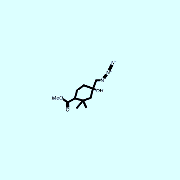 COC(=O)C1CCC(O)(CN=[N+]=[N-])CC1(C)C